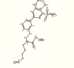 CC(C)(C)OC(=O)N(CCCCC=O)CCc1cccc(-c2cc3c(c(S(N)(=O)=O)c2)OCCO3)c1